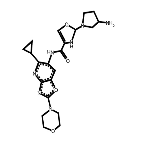 NC1CCN(C2NC(C(=O)Nc3cc4oc(N5CCOCC5)nc4nc3C3CC3)=CO2)C1